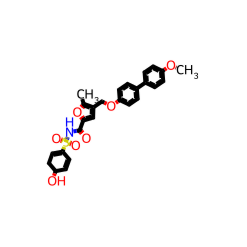 COc1ccc(-c2ccc(OCc3cc(C(=O)NS(=O)(=O)C4=CCC(O)C=C4)oc3C)cc2)cc1